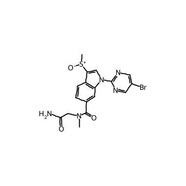 CN(CC(N)=O)C(=O)c1ccc2c([S+](C)[O-])cn(-c3ncc(Br)cn3)c2c1